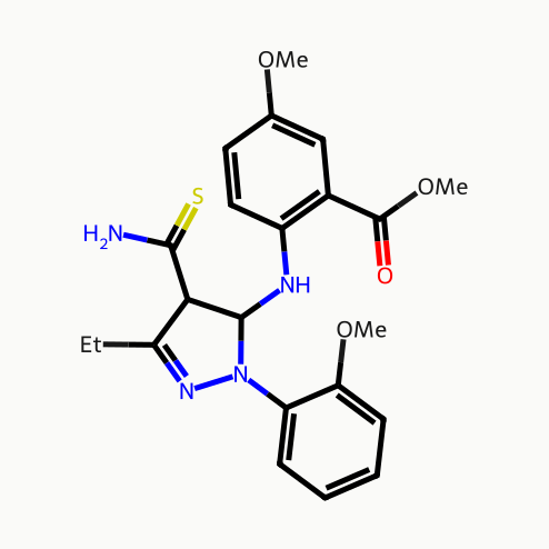 CCC1=NN(c2ccccc2OC)C(Nc2ccc(OC)cc2C(=O)OC)C1C(N)=S